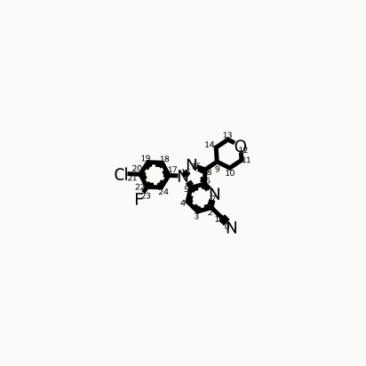 N#Cc1ccc2c(n1)c(C1CCOCC1)nn2-c1ccc(Cl)c(F)c1